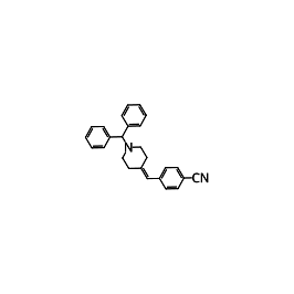 N#Cc1ccc(C=C2CCN(C(c3ccccc3)c3ccccc3)CC2)cc1